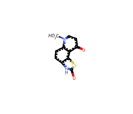 O=C(O)n1ccc(=O)c2c3sc(=O)[nH]c3ccc21